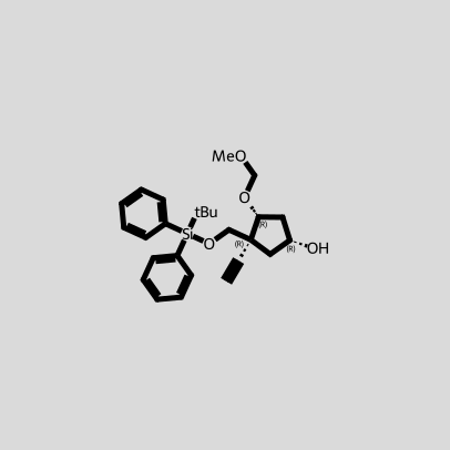 C#C[C@@]1(CO[Si](c2ccccc2)(c2ccccc2)C(C)(C)C)C[C@@H](O)C[C@H]1OCOC